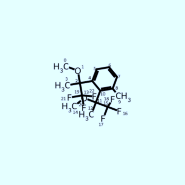 COC(C)(c1cccc(C)c1C(C)(OC)C(F)(F)F)C(F)(F)F